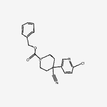 N#CC1(c2ccc(Cl)nc2)CCN(C(=O)OCc2ccccc2)CC1